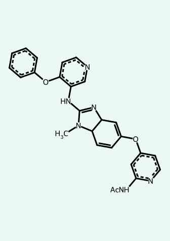 CC(=O)Nc1cc(OC2=CC3N=C(Nc4cnccc4Oc4ccccc4)N(C)C3C=C2)ccn1